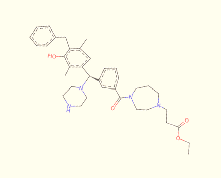 CCOC(=O)CCN1CCCN(C(=O)c2cccc([C@H](c3cc(C)c(Cc4ccccc4)c(O)c3C)N3CCNCC3)c2)CC1